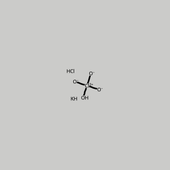 Cl.[KH].[O-][Cl+3]([O-])([O-])O